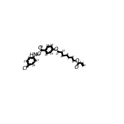 C=CC(=O)OCCCCCCCOc1ccc(C(=O)ONc2ccc(Cl)cc2)cc1